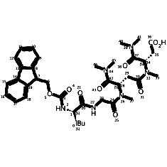 CC[C@H](C)[C@H](NC(=O)OCC1c2ccccc2-c2ccccc21)C(=O)NCC(=O)N(C)[C@@H](CC(=O)N(C)[C@@H](CC(=O)O)C(=O)N(C)C)C(=O)N(C)C